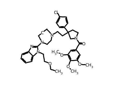 CCOCCn1c(N2CCCN(CCC3(c4ccc(Cl)cc4)CCN(C(=O)c4cc(OC)c(OC)c(OC)c4)C3)CC2)nc2ccccc21